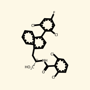 O=C(N[C@@H](Cc1ccc(-c2c(Cl)cc(F)cc2Cl)c2ccccc12)C(=O)O)c1c(Cl)cccc1Cl